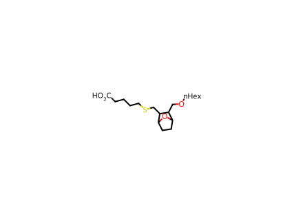 CCCCCCOCC1C2CCC(O2)C1CSCCCCC(=O)O